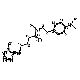 CN(CCc1ccc(N(C)C)cc1)C(=O)CCCSc1nnnn1C